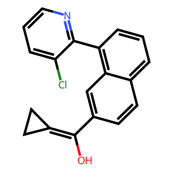 OC(=C1CC1)c1ccc2cccc(-c3ncccc3Cl)c2c1